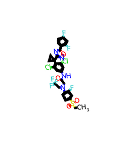 CCS(=O)(=O)c1ccc(N(CC(=O)Nc2cc(Cl)c(C3(c4noc(-c5ccc(F)cc5F)n4)CC3)c(Cl)c2)CC(F)(F)F)c(F)c1